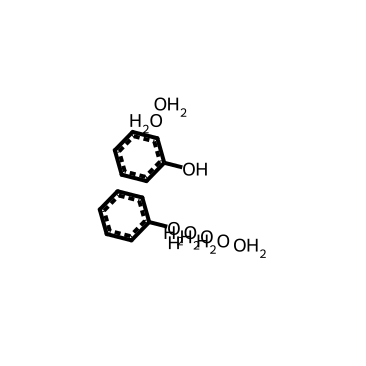 O.O.O.O.O.O.Oc1ccccc1.Oc1ccccc1